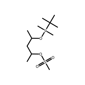 CC(CC(C)OS(C)(=O)=O)O[Si](C)(C)C(C)(C)C